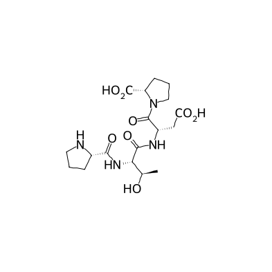 C[C@@H](O)[C@H](NC(=O)[C@@H]1CCCN1)C(=O)N[C@@H](CC(=O)O)C(=O)N1CCC[C@H]1C(=O)O